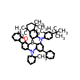 Cc1cc(C(C)(C)C)ccc1N1c2cc3c(cc2B2c4c1cc(-c1ccccc1)cc4N(c1ccccc1C)c1ccc4c(oc5ccccc54)c12)C(C)(C)CCC3(C)C